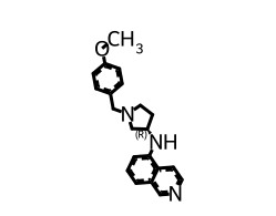 COc1ccc(CN2CC[C@@H](Nc3cccc4cnccc34)C2)cc1